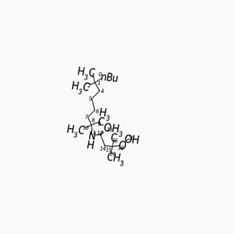 CCCCC(C)(C)CCCCC(C)(C)NC(=O)CC(C)(C)OO